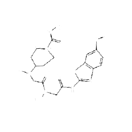 CN(CC(=O)Nc1nc2ccc(OC(F)(F)F)cc2s1)C(=O)CN(C)C1CCN(C(=O)OC(C)(C)C)CC1